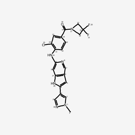 Cn1cc(-c2cc3cnc(Nc4ccc(C(=O)N5CC(F)(F)C5)cc4Cl)cc3[nH]2)cn1